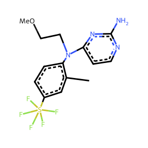 COCCN(c1ccnc(N)n1)c1ccc(S(F)(F)(F)(F)F)cc1C